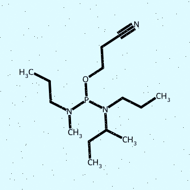 CCCN(C)P(OCCC#N)N(CCC)C(C)CC